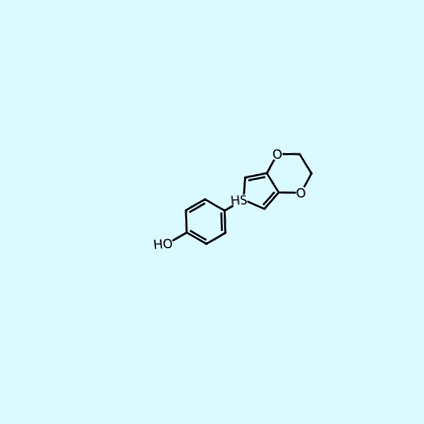 Oc1ccc([SH]2C=C3OCCOC3=C2)cc1